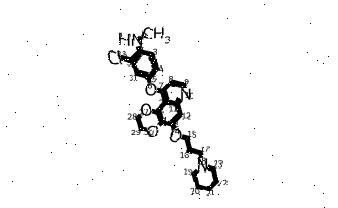 CNc1ccc(Oc2ccnc3cc(OCCCN4CCCCC4)c4c(c23)OCCO4)cc1Cl